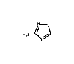 S.c1ncsn1